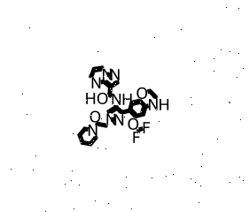 O=C(Cn1cc(NC(O)c2cnn3cccnc23)c(-c2cc3c(cc2OC(F)F)NCCO3)n1)N1CCCCC1